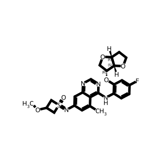 COC1CS(=O)(=Nc2cc(C)c3c(Nc4ccc(F)cc4O[C@@H]4CO[C@@H]5CCO[C@@H]54)ncnc3c2)C1